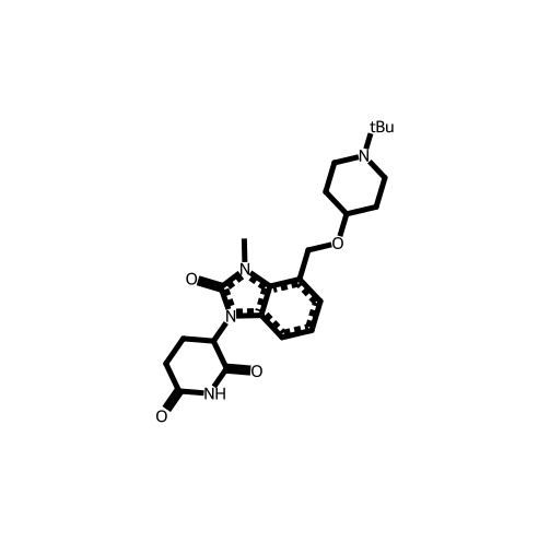 Cn1c(=O)n(C2CCC(=O)NC2=O)c2cccc(COC3CCN(C(C)(C)C)CC3)c21